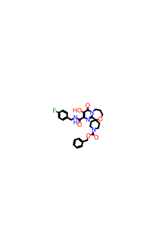 O=C(NCc1ccc(F)cc1)c1nc2n(c(=O)c1O)CCCOC21CCN(C(=O)OCc2ccccc2)CC1